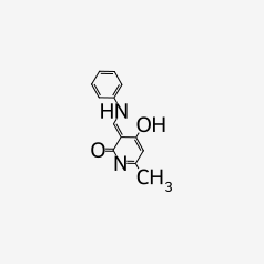 CC1=NC(=O)C(=CNc2ccccc2)C(O)=C1